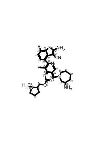 CN1CCCC1COc1nc(N2CCCCC(N)C2)c2cnc(-c3ccc(F)c4sc(N)c(C#N)c34)c(F)c2n1